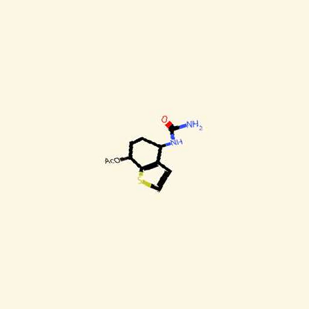 CC(=O)OC1CCC(NC(N)=O)c2ccsc21